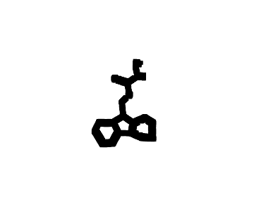 CC(C)NC(=O)OCC1C2=CC=C=C=C2c2ccccc21